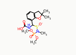 COP(=O)(OC)N(C)[S+]([O-])C(NC(=O)O)c1cccc2c1OC(C)(C)C2